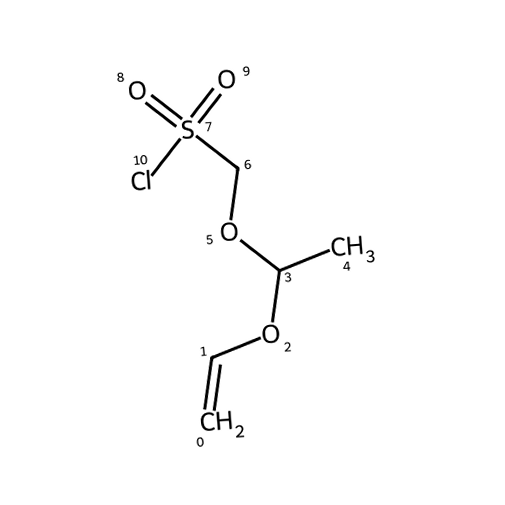 C=COC(C)OCS(=O)(=O)Cl